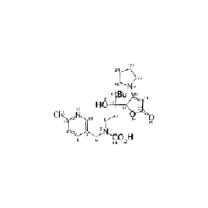 CC(C)(C)C(O)(CCN(Cc1ccc(Cl)nc1)C(=O)O)C1OC(=O)C=C1N1CCCC1